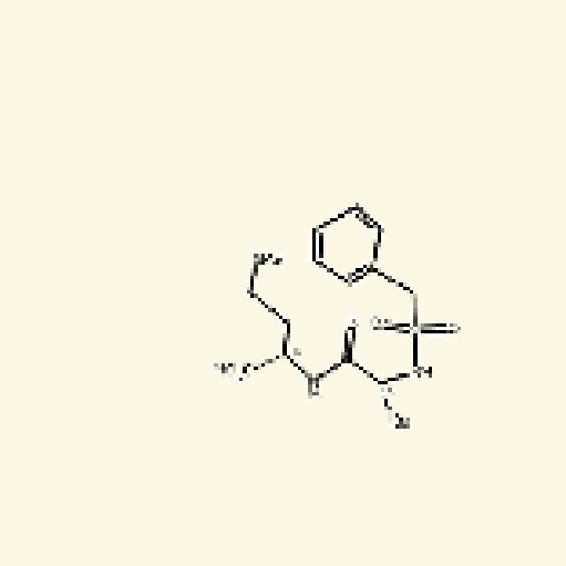 CCC(C)[C@@H](NS(=O)(=O)Cc1ccccc1)C(=O)N[C@@H](CCSC)C(=O)O